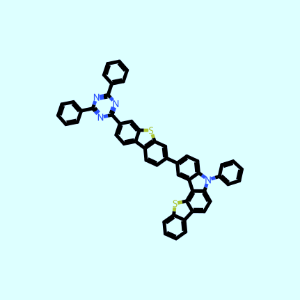 c1ccc(-c2nc(-c3ccccc3)nc(-c3ccc4c(c3)sc3cc(-c5ccc6c(c5)c5c7sc8ccccc8c7ccc5n6-c5ccccc5)ccc34)n2)cc1